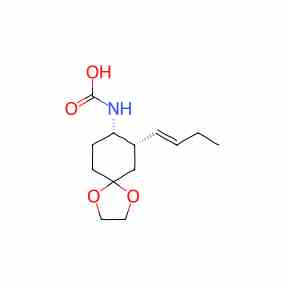 CCC=C[C@@H]1CC2(CC[C@@H]1NC(=O)O)OCCO2